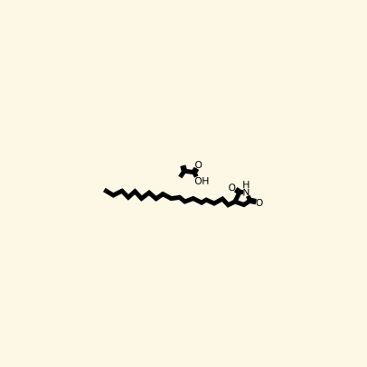 C=C(C)C(=O)O.CCCCCCCCCCCCCCCCCCC1CC(=O)NC1=O